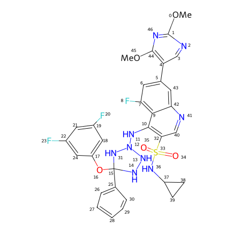 COc1ncc(-c2cc(F)c3c(NN4NNC(Oc5cc(F)cc(F)c5)(c5ccccc5)N4)c(S(=O)(=O)NC4CC4)cnc3c2)c(OC)n1